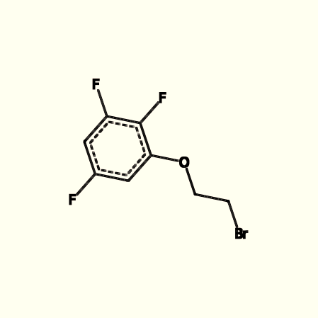 Fc1cc(F)c(F)c(OCCBr)c1